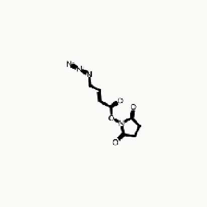 [N-]=[N+]=NCC=CC(=O)ON1C(=O)CCC1=O